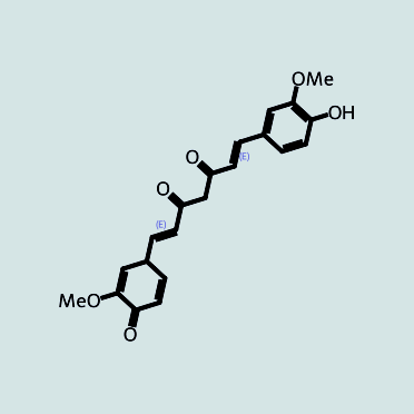 COC1=CC(/C=C/C(=O)CC(=O)/C=C/c2ccc(O)c(OC)c2)C=CC1=O